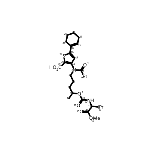 CCC(=O)N(CCCC(C)OC(=O)NC(C(=O)OC)C(C)C)c1cc(C2=CCCCC2)sc1C(=O)O